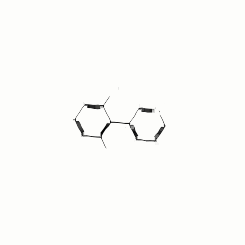 Fc1cccc(F)c1-c1cccnc1